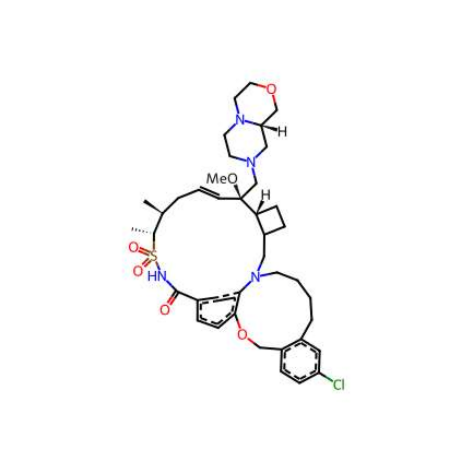 CO[C@]1(CN2CCN3CCOC[C@@H]3C2)/C=C/C[C@H](C)[C@@H](C)S(=O)(=O)NC(=O)c2ccc3c(c2)N(CCCCc2cc(Cl)ccc2CO3)CC2CC[C@H]21